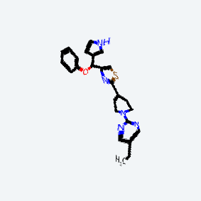 CCc1cnc(N2CCC(c3nc(C(Oc4ccccc4)c4cc[nH]c4)cs3)CC2)nc1